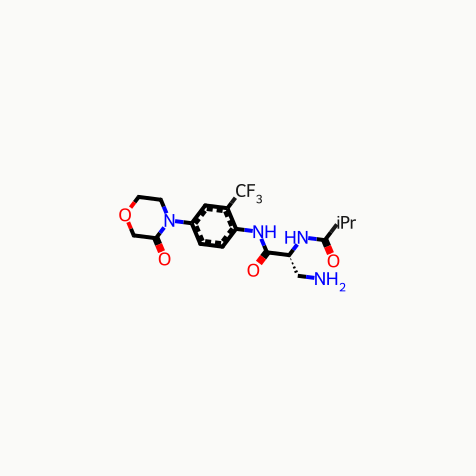 CC(C)C(=O)N[C@H](CN)C(=O)Nc1ccc(N2CCOCC2=O)cc1C(F)(F)F